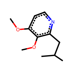 COc1ccnc(CC(C)C)c1OC